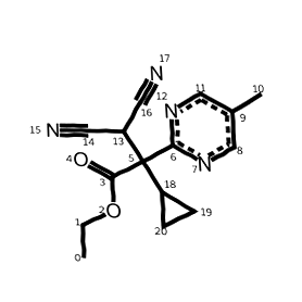 CCOC(=O)C(c1ncc(C)cn1)(C(C#N)C#N)C1CC1